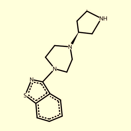 [CH]1C[C@H](N2CCN(c3nsc4ccccc34)CC2)CN1